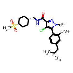 CCCn1nc(C(=O)NC[C@H]2CC[C@H](S(C)(=O)=O)CC2)c(Cl)c1-c1ccc(C[C@@H](C)C(F)(F)F)cc1OC